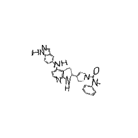 CN(C(=O)N1CC=C(C2Cc3c(Nc4ccc5[nH]ncc5c4)ccnc3N2)CC1)c1ccccc1